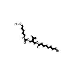 CCCCCCCCCCCCCCCNC(=O)OCC(COC(=O)CCCCCCCBr)=C(C)C